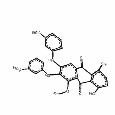 CCCCCCCCOc1c(Nc2cccc(C(=O)OCC)c2)c(Nc2cccc(C(=O)OCC)c2)cc2c1C(=O)c1c(O)ccc(O)c1C2=O